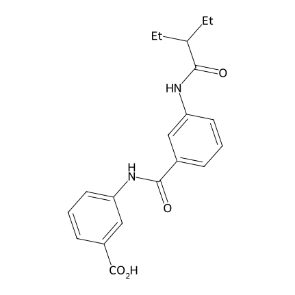 CCC(CC)C(=O)Nc1cccc(C(=O)Nc2cccc(C(=O)O)c2)c1